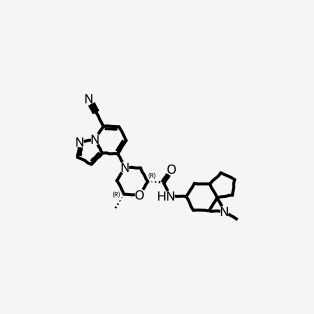 C[C@@H]1CN(c2ccc(C#N)n3nccc23)C[C@H](C(=O)NC2CC3CCCC34C(C2)N4C)O1